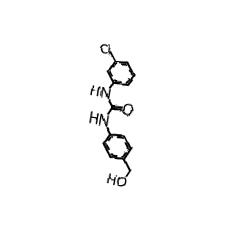 O=C(Nc1ccc(CO)cc1)Nc1cccc(Cl)c1